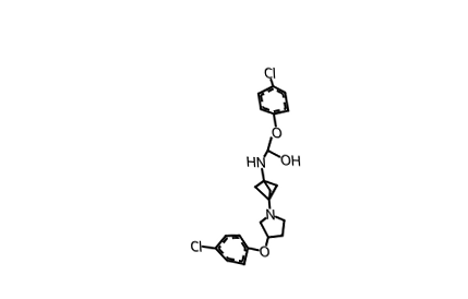 OC(COc1ccc(Cl)cc1)NC12CC(N3CCC(Oc4ccc(Cl)cc4)C3)(C1)C2